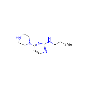 CSCCNc1nccc(N2CCNCC2)n1